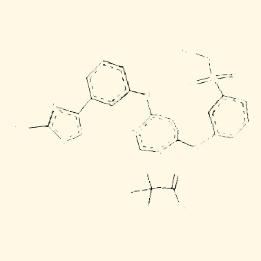 CNS(=O)(=O)c1cccc(Nc2cc(Nc3cccc(-c4csc(C)n4)c3)ncn2)c1.O=C(O)C(F)(F)F